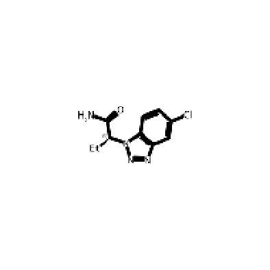 CC[C@@H](C(N)=O)n1nnc2cc(Cl)ccc21